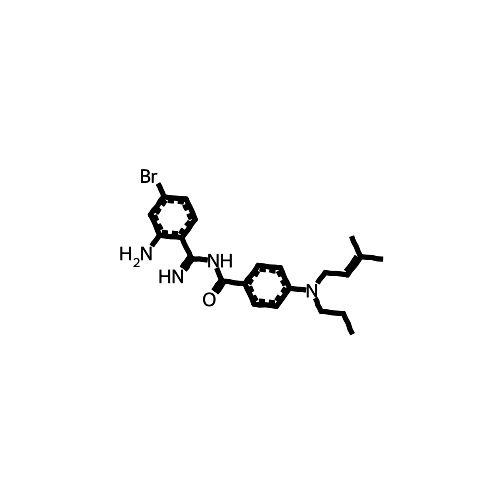 CCCN(CC=C(C)C)c1ccc(C(=O)NC(=N)c2ccc(Br)cc2N)cc1